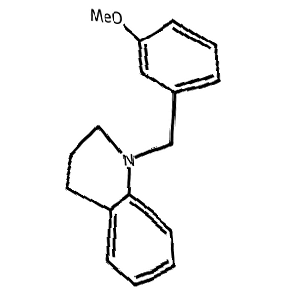 COc1cccc(CN2CCCc3ccccc32)c1